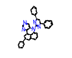 c1ccc(-c2cc3c4c(cccc4c2)N(c2nc(-c4ccccc4)cc(-c4ccccc4)n2)c2cncnc2-3)cc1